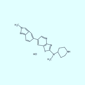 CN(c1nc2ncc(-c3ccc4nn(C)cc4c3)cc2s1)C1CCNCC1.Cl